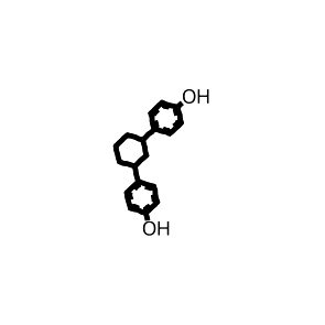 Oc1ccc(C2CCCC(c3ccc(O)cc3)C2)cc1